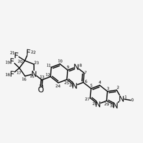 Cn1cc2cc(-c3cnc4ccc(C(=O)N5CC(F)(F)C(F)(F)C5)cc4n3)cnc2n1